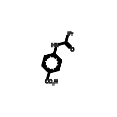 CC(C)C(=O)Nc1ccc(C(=O)O)cc1